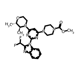 COC(=O)N1CCN(c2cc(N3CCO[C@@H](C)[C@@H]3C)nc(-n3c(C(F)F)nc4ccccc43)n2)CC1